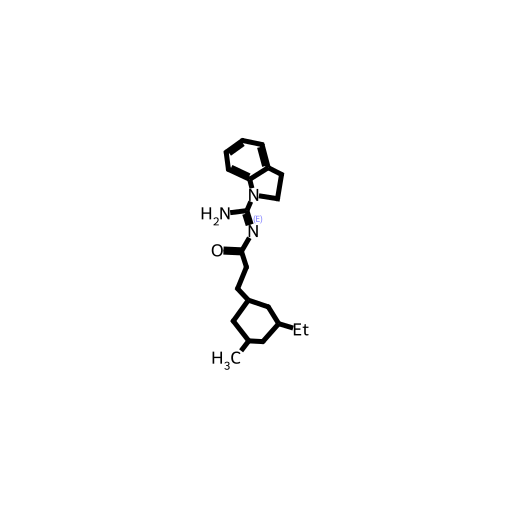 CCC1CC(C)CC(CCC(=O)/N=C(\N)N2CCc3ccccc32)C1